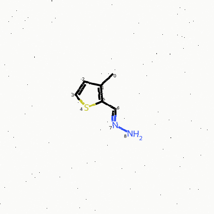 Cc1ccsc1C=NN